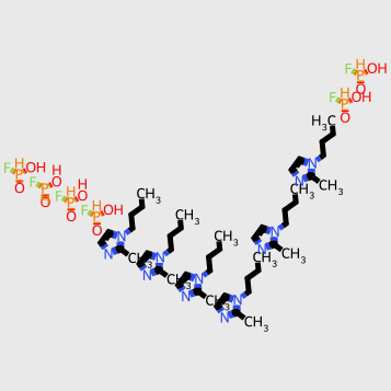 CCCCn1ccnc1C.CCCCn1ccnc1C.CCCCn1ccnc1C.CCCCn1ccnc1C.CCCCn1ccnc1C.CCCCn1ccnc1C.O=[PH](O)F.O=[PH](O)F.O=[PH](O)F.O=[PH](O)F.O=[PH](O)F.O=[PH](O)F